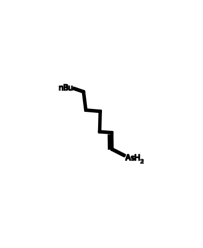 CCCCCCCCC=C[AsH2]